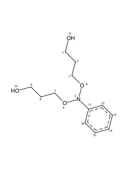 OCCCON(OCCCO)c1ccccc1